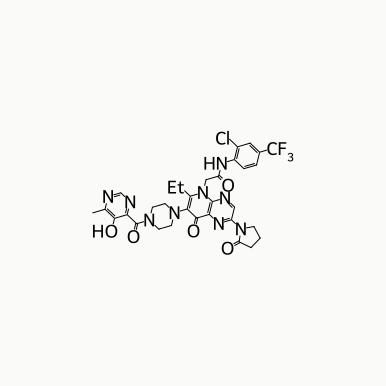 CCc1c(N2CCN(C(=O)c3ncnc(C)c3O)CC2)c(=O)c2nc(N3CCCC3=O)cnc2n1CC(=O)Nc1ccc(C(F)(F)F)cc1Cl